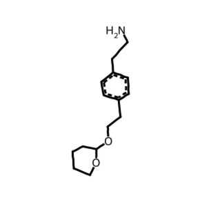 NCCc1ccc(CCOC2CCCCO2)cc1